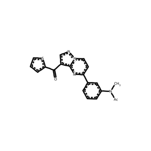 CC(=O)N(C)c1cccc(-c2ccn3ncc(C(=O)c4cccs4)c3n2)c1